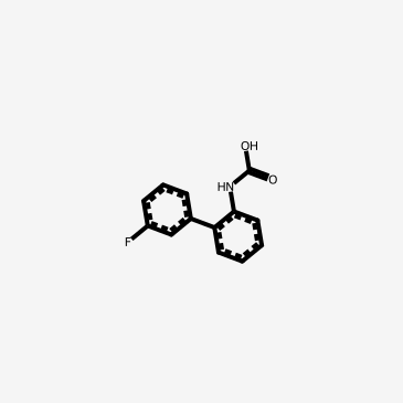 O=C(O)Nc1ccccc1-c1cccc(F)c1